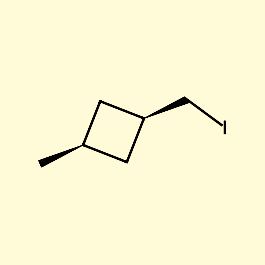 C[C@H]1C[C@@H](CI)C1